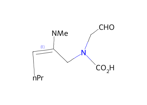 CCC/C=C(\CN(CC=O)C(=O)O)NC